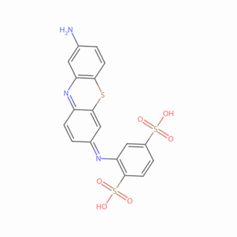 Nc1ccc2sc3c/c(=N\c4cc(S(=O)(=O)O)ccc4S(=O)(=O)O)ccc-3nc2c1